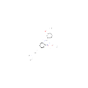 COC(=O)c1cccc(-c2nc3ccc(OCCCN4CCCCC4)cc3c(=O)n2CC(=O)NC(C)C)c1